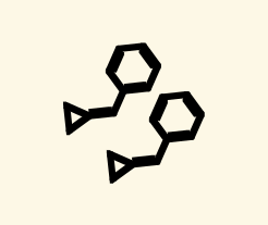 C(=C1CC1)c1ccccc1.C(=C1CC1)c1ccccc1